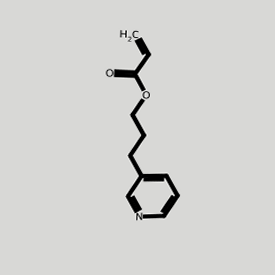 C=CC(=O)OCCCc1cccnc1